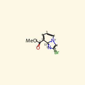 COC(=O)c1cccn2cc(Br)nc12